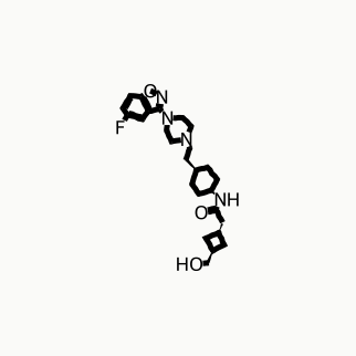 O=C(C[C@H]1C[C@H](CO)C1)N[C@H]1CC[C@H](CCN2CCN(c3noc4ccc(F)cc34)CC2)CC1